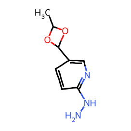 CC1OC(c2ccc(NN)nc2)O1